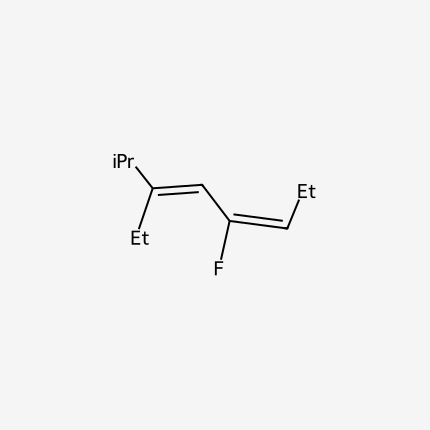 CC/C=C(F)\C=C(/CC)C(C)C